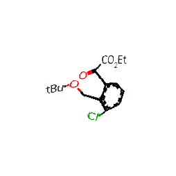 CCOC(=O)C(=O)c1cccc(Cl)c1COC(C)(C)C